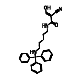 N#CC(=CO)C(=O)NCCCCCNC(c1ccccc1)(c1ccccc1)c1ccccc1